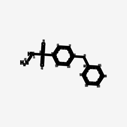 NNS(=O)(=O)c1ccc(Cc2ccccc2)cc1